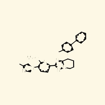 COc1nc(-c2nc3n(n2)CCC[C@H]3c2cc(-c3ccccc3)ccc2Cl)ccc1-n1cnc(C)c1